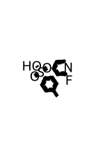 Cc1ccc(S(=O)(=O)O)cc1.Fc1ccccn1